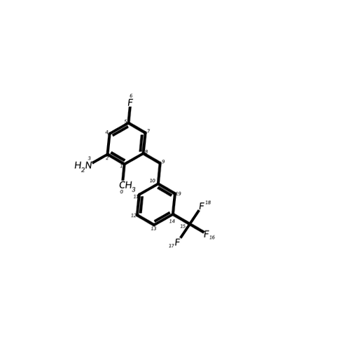 Cc1c(N)cc(F)cc1Cc1cccc(C(F)(F)F)c1